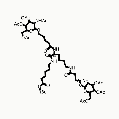 CC(=O)NC1C(OCCCCC(=O)N[C@@H](CCCCNC(=O)CCCOC2OC(COC(C)=O)C(OC(C)=O)C(OC(C)=O)C2NC(C)=O)C(=O)NCCCCCC(=O)OC(C)(C)C)OC(COC(C)=O)C(OC(C)=O)C1OC(C)=O